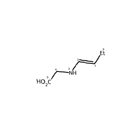 CCC=CNCC(=O)O